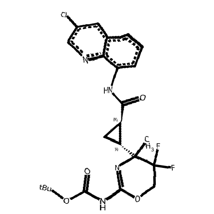 CC(C)(C)OC(=O)NC1=NC(C)([C@@H]2C[C@H]2C(=O)Nc2cccc3cc(Cl)cnc23)C(F)(F)CO1